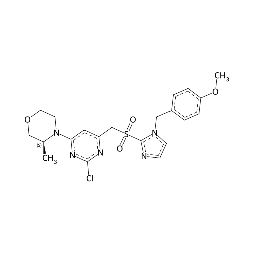 COc1ccc(Cn2ccnc2S(=O)(=O)Cc2cc(N3CCOC[C@@H]3C)nc(Cl)n2)cc1